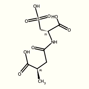 C[C@H](CC(=O)N[C@H](CS(=O)(=O)O)C(=O)O)C(=O)O